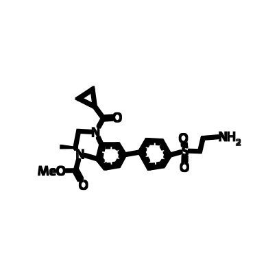 COC(=O)N1c2ccc(-c3ccc(S(=O)(=O)CCN)cc3)cc2N(C(=O)C2CC2)C[C@@H]1C